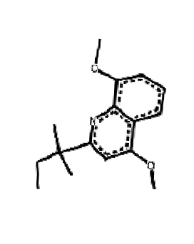 CCC(C)(C)c1cc(OC)c2cccc(OC)c2n1